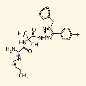 C=C/C=C\N=C(/N)C(=O)NC(C)(C)C(=O)Nc1nc(-c2ccc(F)cc2)n(Cc2ccccc2)n1